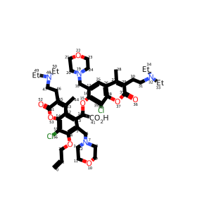 C=CCOc1c(CN2CCOCC2)c(C(Oc2c(CN3CCOCC3)cc3c(C)c(CCN(CC)CC)c(=O)oc3c2Cl)C(=O)O)c2c(C)c(CCN(CC)CC)c(=O)oc2c1Cl